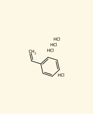 C=Cc1ccccc1.Cl.Cl.Cl.Cl